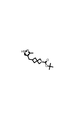 Cc1n[nH]cc1CC1CC2(C1)CN(C(=O)OC(C)(C)C)C2